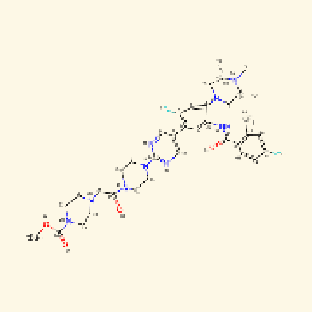 C[C@@H]1CN(c2cc(F)c(-c3cnc(N4CCN(C(=O)CN5CCN(C(=O)OC(C)(C)C)CC5)CC4)nc3)cc2NC(=O)c2ccc(F)cc2C(F)(F)F)C[C@H](C)N1C